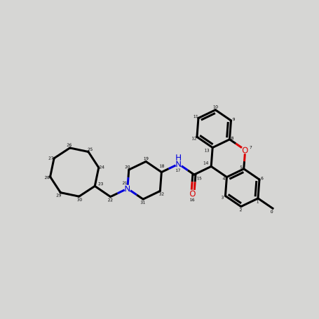 Cc1ccc2c(c1)Oc1ccccc1C2C(=O)NC1CCN(CC2CCCCCCC2)CC1